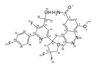 COc1cc(C(N)=O)cc2c(CC3(c4cc(C(C)(C)O)c(F)c(-c5ccc(F)cc5)n4)CC(F)(F)CO3)c(C)nnc12